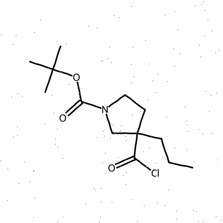 CCCC1(C(=O)Cl)CCN(C(=O)OC(C)(C)C)C1